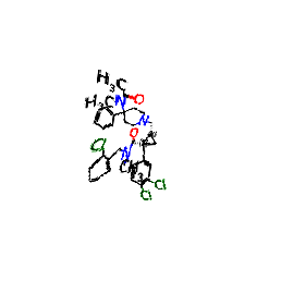 CC(=O)N(C)C1(c2ccccc2)CCN(C[C@@H]2C[C@@]2(C(=O)N(C)Cc2ccccc2Cl)c2ccc(Cl)c(Cl)c2)CC1